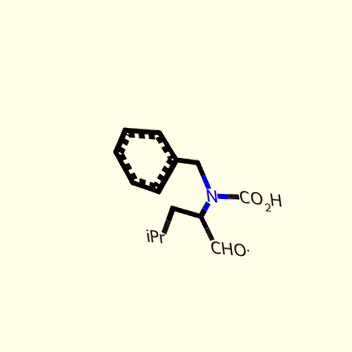 CC(C)CC([C]=O)N(Cc1ccccc1)C(=O)O